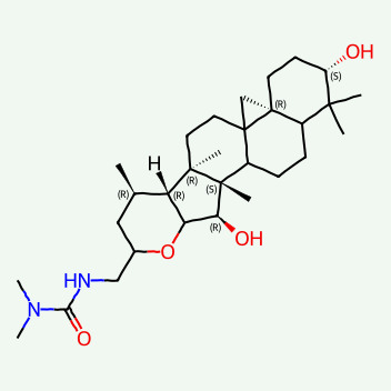 C[C@@H]1CC(CNC(=O)N(C)C)OC2[C@H]1[C@@]1(C)CCC34C[C@@]35CC[C@H](O)C(C)(C)C5CCC4[C@]1(C)[C@H]2O